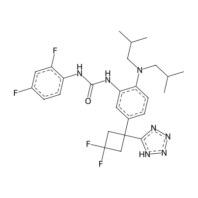 CC(C)CN(CC(C)C)c1ccc(C2(c3nnn[nH]3)CC(F)(F)C2)cc1NC(=O)Nc1ccc(F)cc1F